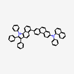 c1ccc(-c2c(-c3ccccc3)n(-c3ccccc3)c3c2ccc2c(-c4ccc5c(ccc6cc(N(c7ccccc7)c7cccc8ccccc78)ccc65)c4)cccc23)cc1